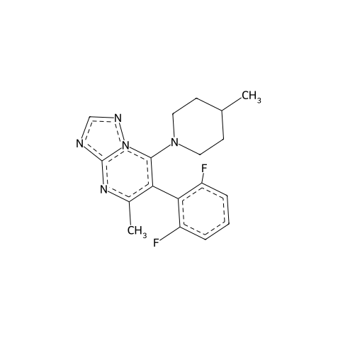 Cc1nc2ncnn2c(N2CCC(C)CC2)c1-c1c(F)cccc1F